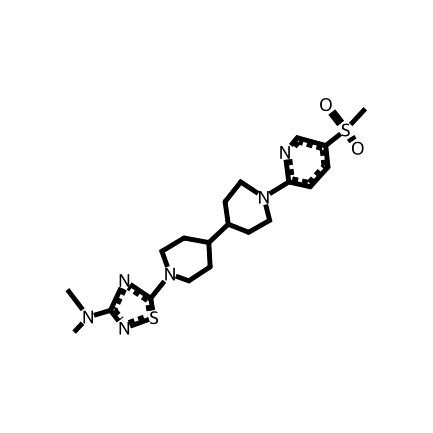 CN(C)c1nsc(N2CCC(C3CCN(c4ccc(S(C)(=O)=O)cn4)CC3)CC2)n1